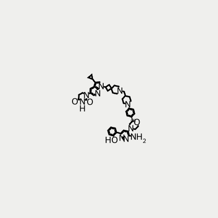 Nc1nnc(-c2ccccc2O)cc1N1CCO[C@H](c2ccc(N3CCC(CN4CCC5(CC4)CC(n4cc(C6CC6)c6cc(N7CCC(=O)NC7=O)cnc64)C5)CC3)cc2)C1